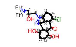 CCN(CC)CC(O)Cn1nc2c3c(c(Cl)ccc31)C(=O)c1c(O)ccc(O)c1-2